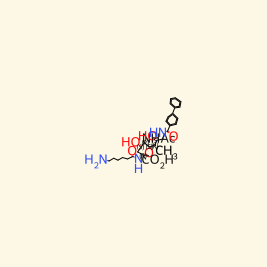 CC(=O)N[C@H]1[C@H]([C@H](C)[C@H](O)CNC(=O)c2ccc(-c3ccccc3)cc2)O[C@@](NC(=O)CCCCCN)(C(=O)O)C[C@@H]1O